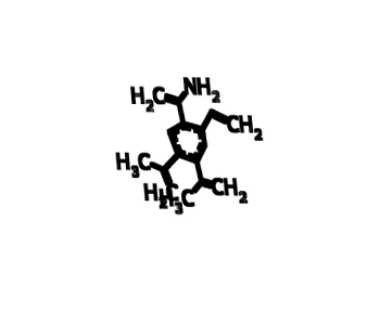 C=Cc1cc(C(=C)C)c(C(=C)C)cc1C(=C)N